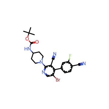 CC(C)(C)OC(=O)NC1CCN(c2ncc(Br)c(-c3ccc(C#N)c(F)c3)c2C#N)CC1